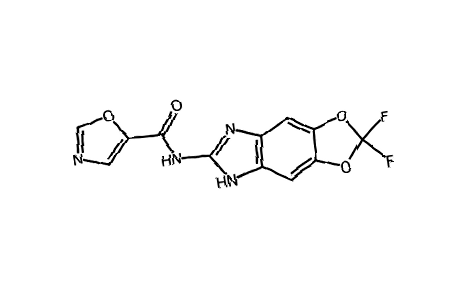 O=C(Nc1nc2cc3c(cc2[nH]1)OC(F)(F)O3)c1cnco1